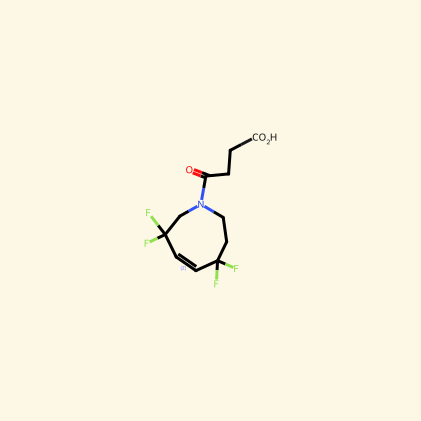 O=C(O)CCC(=O)N1CCC(F)(F)/C=C\C(F)(F)C1